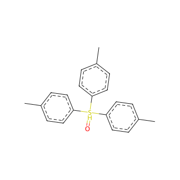 Cc1ccc([SH](=O)(c2ccc(C)cc2)c2ccc(C)cc2)cc1